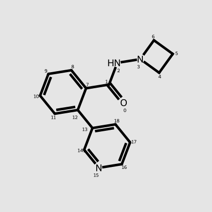 O=C(NN1CCC1)c1ccccc1-c1[c]nccc1